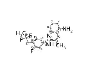 Cc1cc2c(N)cccc2nc1Nc1ccc(CC(C)(F)F)c(F)c1